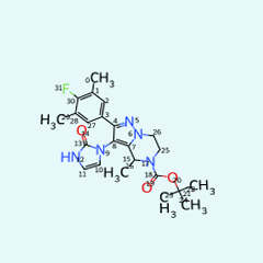 Cc1cc(-c2nn3c(c2-n2cc[nH]c2=O)C(C)N(C(=O)OC(C)(C)C)CC3)cc(C)c1F